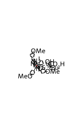 COc1ccc(CN(Cc2ccc(OC)cc2)S(=O)(=O)c2c(SC[C@H](CO)N(C(=O)O)C(C)(C)C)ccc(I)c2-c2nnn(Cc3ccc(OC)cc3)n2)cc1